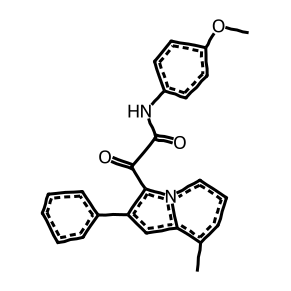 COc1ccc(NC(=O)C(=O)c2c(-c3ccccc3)cc3c(C)cccn23)cc1